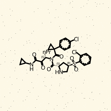 CCC[C@@H](C(=O)C(=O)NC1CC1)N(C(=O)[C@@H]1C[C@@H](S(=O)(=O)c2ccccc2Cl)CN1)C(=O)C1(c2ccc(Cl)cc2)CC1